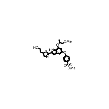 COCC(C)Oc1cc(Oc2ccc(S(=O)(=O)OC)cc2)cc2cc(C3=NCC(CCO)S3)[nH]c12